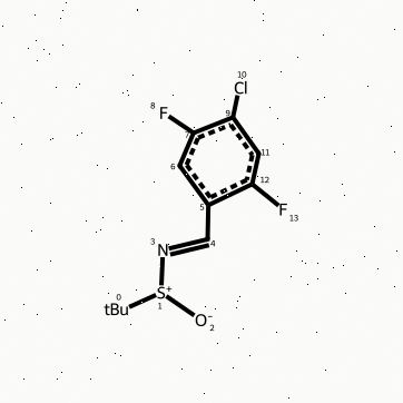 CC(C)(C)[S+]([O-])/N=C/c1cc(F)c(Cl)cc1F